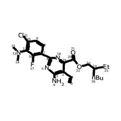 C=Cc1c(N)nc(-c2ccc(Cl)c(N(C)C)c2F)nc1C(=O)OCC(CC)CCCC